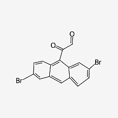 O=CC(=O)c1c2ccc(Br)cc2cc2ccc(Br)cc12